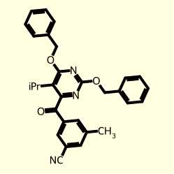 Cc1cc(C#N)cc(C(=O)c2nc(OCc3ccccc3)nc(OCc3ccccc3)c2C(C)C)c1